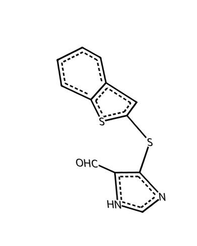 O=Cc1[nH]cnc1Sc1cc2ccccc2s1